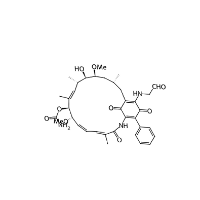 CO[C@H]1/C=C\C=C(/C)C(=O)NC2=C(c3ccccc3)C(=O)C(NCC=O)=C(C[C@@H](C)C[C@H](OC)[C@H](O)[C@@H](C)/C=C(\C)[C@@H]1OC(N)=O)C2=O